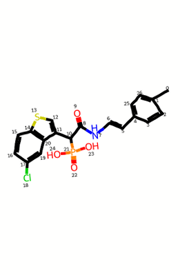 Cc1ccc(C=CNC(=O)C(c2csc3ccc(Cl)cc23)P(=O)(O)O)cc1